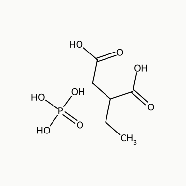 CCC(CC(=O)O)C(=O)O.O=P(O)(O)O